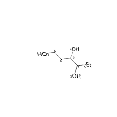 C[CH]C(O)C(O)CCO